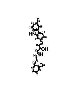 COc1ccccc1OCCNCC(O)COc1ccc2c(c1)[nH]c1ccc(F)cc12